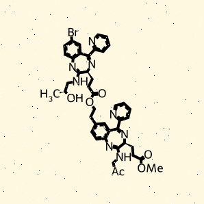 COC(=O)CC[C@@H]1N=C(c2ccccn2)c2cc(CCOC(=O)CC[C@@H]3N=C(c4ccccn4)c4cc(Br)ccc4N=C3NC[C@@H](C)O)ccc2N=C1NCC(C)=O